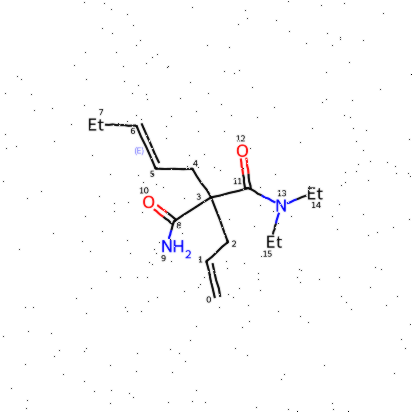 C=CCC(C/C=C/CC)(C(N)=O)C(=O)N(CC)CC